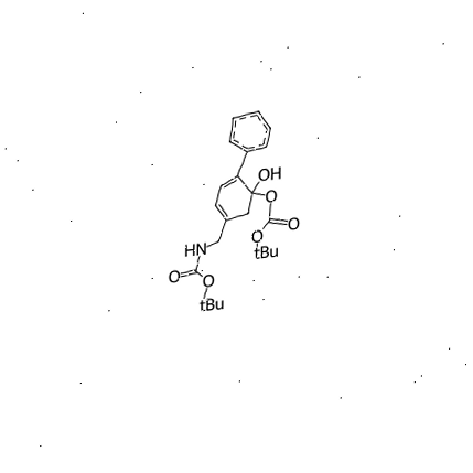 CC(C)(C)OC(=O)NCC1=CC=C(c2ccccc2)C(O)(OC(=O)OC(C)(C)C)C1